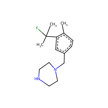 Cc1ccc(CN2CCNCC2)cc1C(C)(C)F